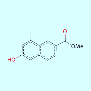 COC(=O)c1ccc2cc(O)cc(C)c2c1